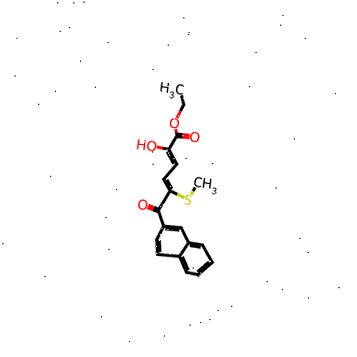 CCOC(=O)/C(O)=C/C=C(\SC)C(=O)c1ccc2ccccc2c1